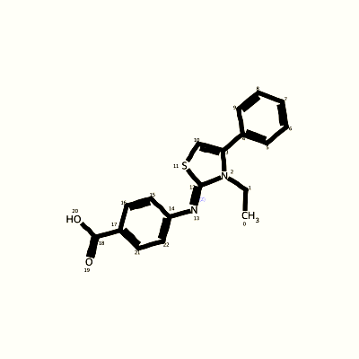 CCn1c(-c2ccccc2)cs/c1=N\c1ccc(C(=O)O)cc1